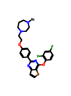 CC(=O)N1CCCN(CCOc2ccc(-c3nc(Oc4ccc(F)cc4F)c4sccc4n3)cc2)CC1